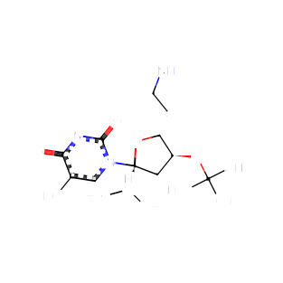 Cc1cn([C@@]2([SiH](C)C)C[C@H](OC(C)(C)C)[C@@H](CCN)O2)c(=O)[nH]c1=O